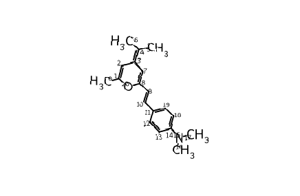 CC1=CC(=C(C)C)C=C(C=Cc2ccc(N(C)C)cc2)O1